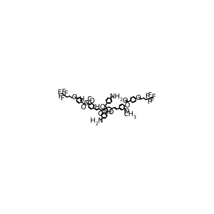 COc1cc(C=CC(=O)CC(Cc2ccc(N)cc2)(Cc2ccc(N)cc2)C(O)(O)C(=O)C=Cc2ccc(OC(=O)c3ccc(OCCCC(F)(F)C(F)(F)F)cc3)c(OC)c2)ccc1OC(=O)c1ccc(OCCCC(F)(F)C(F)(F)F)cc1